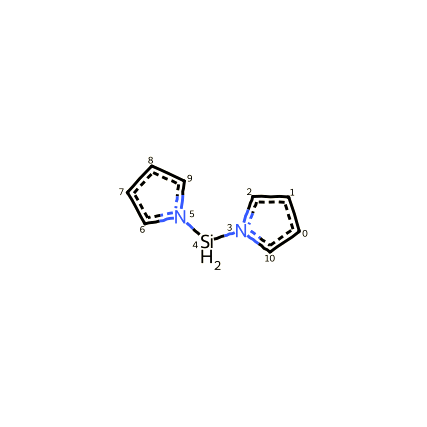 c1ccn([SiH2]n2cccc2)c1